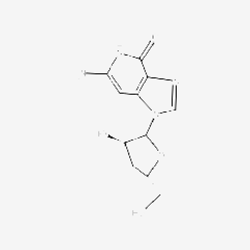 Nc1cc2c(ncn2C2O[C@H](CO)C[C@H]2O)c(=O)[nH]1